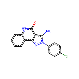 Nc1c2c(=O)[nH]c3ccccc3c2nn1-c1ccc(Cl)cc1